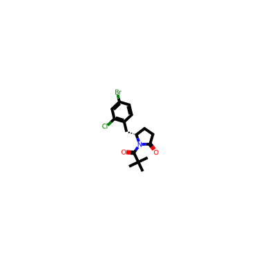 CC(C)(C)C(=O)N1C(=O)CC[C@H]1Cc1ccc(Br)cc1Cl